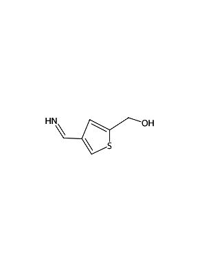 N=Cc1csc(CO)c1